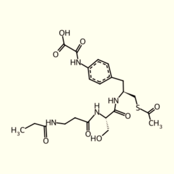 CCC(=O)NCCC(=O)N[C@@H](CO)C(=O)N[C@H](CSC(C)=O)Cc1ccc(NC(=O)C(=O)O)cc1